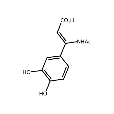 CC(=O)NC(=CC(=O)O)c1ccc(O)c(O)c1